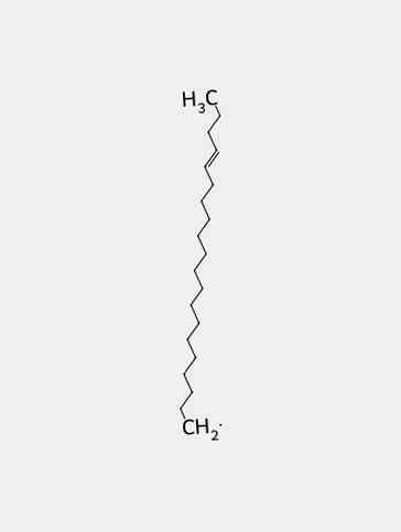 [CH2]CCCCCCCCCCCCCCC=CCCC